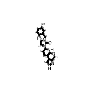 O=C1N(Cc2cc(F)ccc2F)CCN1C1C=CC2=C(N1)OCc1n[nH]cc12